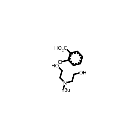 CCCCN(CCO)CCO.O=C(O)c1ccccc1Cl